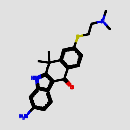 CN(C)CCSc1ccc2c(c1)C(C)(C)c1[nH]c3cc(N)ccc3c1C2=O